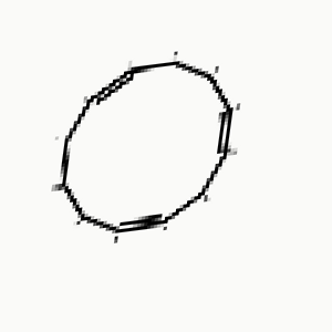 [C]1=CCCC=CCC=CCCC1